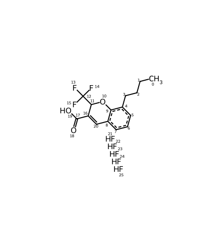 CCCCc1cccc2c1OC(C(F)(F)F)C(C(=O)O)=C2.F.F.F.F.F